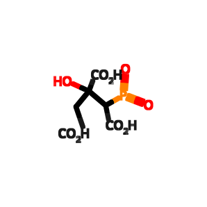 O=C(O)CC(O)(C(=O)O)C(C(=O)O)P(=O)=O